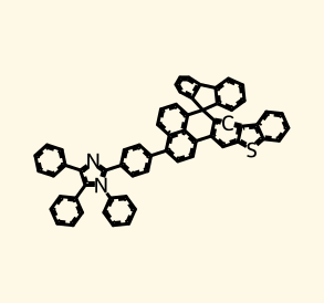 c1ccc(-c2nc(-c3ccc(-c4ccc5c6c(cccc46)C4(c6ccccc6-c6ccccc64)c4cc6c(cc4-5)sc4ccccc46)cc3)n(-c3ccccc3)c2-c2ccccc2)cc1